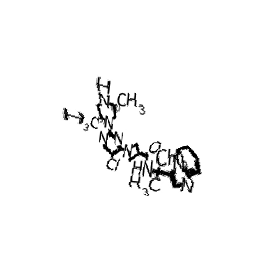 C[C@@H]1CN(c2ncc(Cl)c(N3CC(C(=O)NC(C)(C)c4cnc5ccccn45)C3)n2)[C@@H](C)CN1